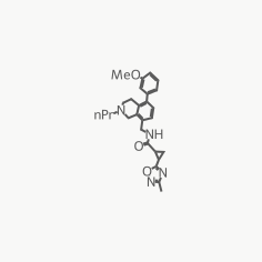 CCCN1CCc2c(-c3cccc(OC)c3)ccc(CNC(=O)C3CC3c3nc(C)no3)c2C1